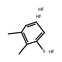 Cc1cccc([S])c1C.F.F.F